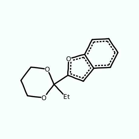 CCC1(c2cc3ccccc3o2)OCCCO1